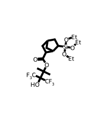 CCO[Si](OCC)(OCC)C1CC2CC(C(=O)OC(C)(C)C(O)(C(F)(F)F)C(F)(F)F)C1C2